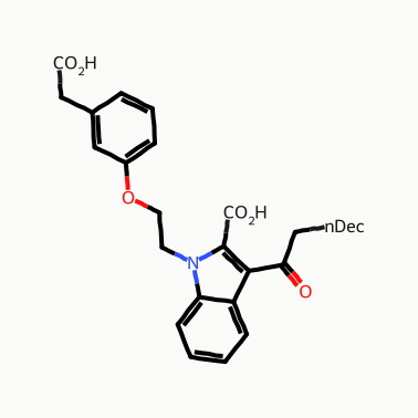 CCCCCCCCCCCC(=O)c1c(C(=O)O)n(CCOc2cccc(CC(=O)O)c2)c2ccccc12